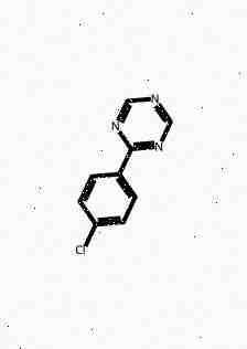 Clc1ccc(-c2ncncn2)cc1